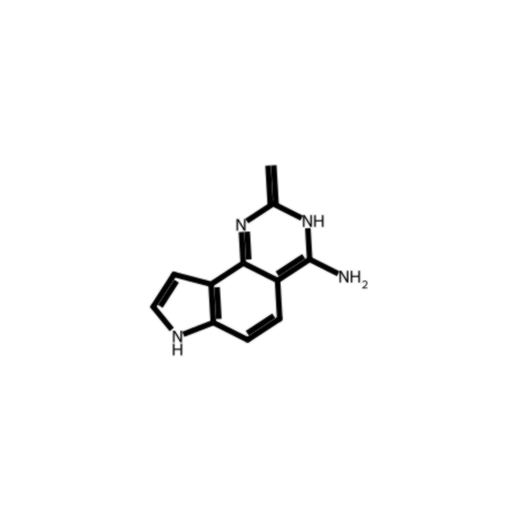 C=C1N=c2c(ccc3[nH]ccc23)=C(N)N1